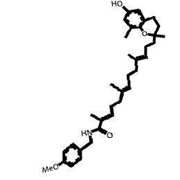 COc1ccc(CNC(=O)/C(C)=C/CC/C(C)=C/CC/C(C)=C/CCC2(C)CCc3cc(O)cc(C)c3O2)cc1